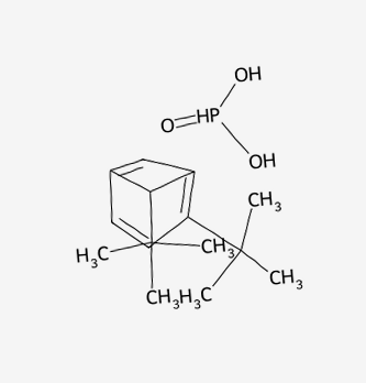 CC(C)(C)c1ccc2cc1C2C(C)(C)C.O=[PH](O)O